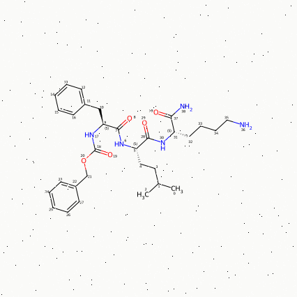 CC(C)CC[C@H](NC(=O)[C@H](Cc1ccccc1)NC(=O)OCc1ccccc1)C(=O)N[C@@H](CCCCN)C(N)=O